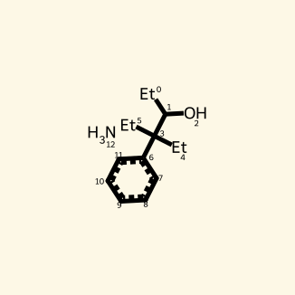 CCC(O)C(CC)(CC)c1ccccc1.N